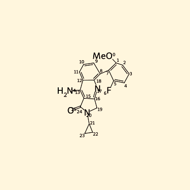 COc1cccc(F)c1-c1cccc2c(N)c3c(nc12)CN(C1CC1)C3=O